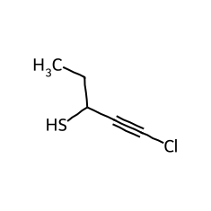 CCC(S)C#CCl